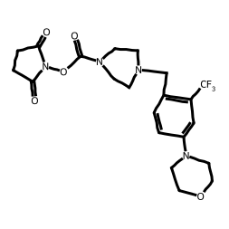 O=C(ON1C(=O)CCC1=O)N1CCN(Cc2ccc(N3CCOCC3)cc2C(F)(F)F)CC1